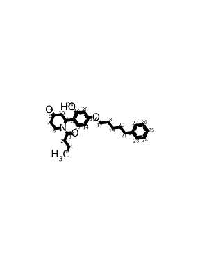 CCCC(=O)N1CCC(=O)CC1c1ccc(OCCCCCc2ccccc2)cc1O